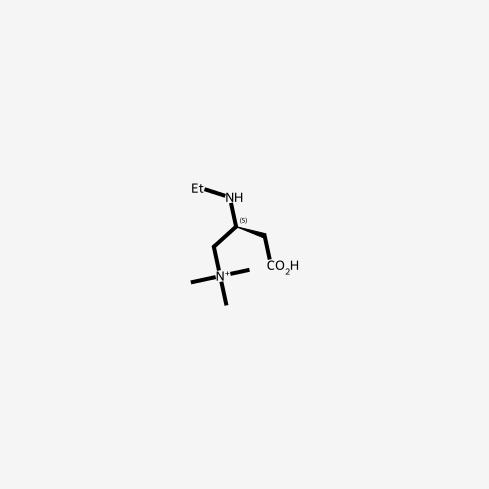 CCN[C@@H](CC(=O)O)C[N+](C)(C)C